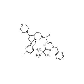 CC(C)(N)C(=O)N[C@H](COCc1ccccc1)C(=O)N1CCN2C(N3CCOCC3)=CC(=O)C2(Cc2ccc(F)cc2)C1